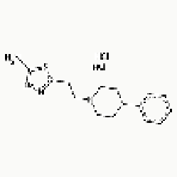 Cl.Cl.Nc1nnc(CCN2CCC(c3ccccc3)CC2)s1